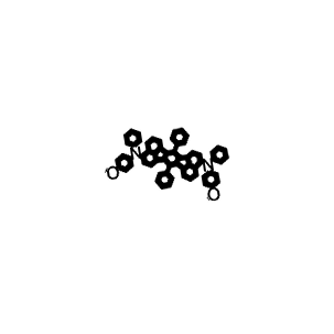 COc1ccc(N(c2ccccc2)c2ccc3c4c(-c5ccccc5)c5c6cccc7c(N(c8ccccc8)c8ccc(OC)cc8)ccc(c5c(-c5ccccc5)c4c4cccc2c43)c76)cc1